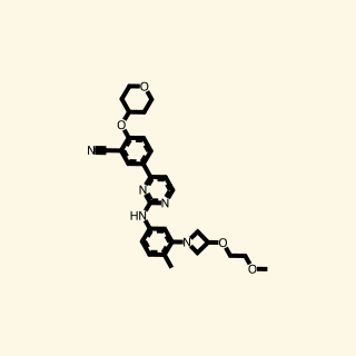 COCCOC1CN(c2cc(Nc3nccc(-c4ccc(OC5CCOCC5)c(C#N)c4)n3)ccc2C)C1